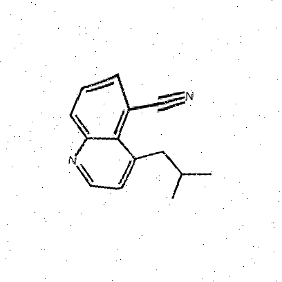 CC(C)Cc1ccnc2cccc(C#N)c12